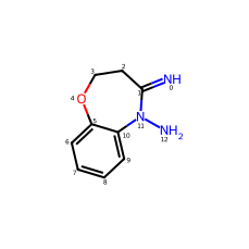 N=C1CCOc2ccccc2N1N